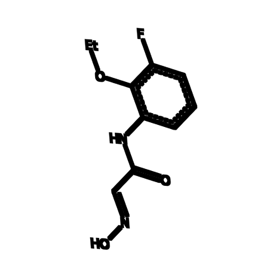 CCOc1c(F)cccc1NC(=O)C=NO